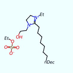 CCCCCCCCCCCCCCCCCC1=[N+](CC)CCN1CCO.CCOS(=O)(=O)[O-]